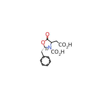 O=C(O)CC1C(=O)O[C@@H](Cc2ccccc2)N1C(=O)O